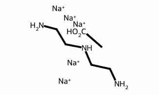 CC(=O)O.NCCNCCN.[Na+].[Na+].[Na+].[Na+].[Na+]